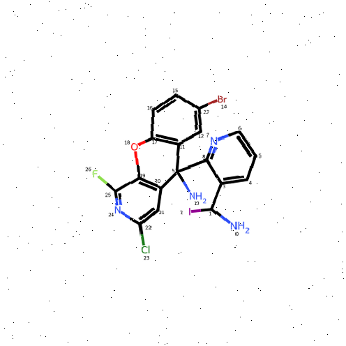 NC(I)c1cccnc1C1(N)c2cc(Br)ccc2Oc2c1cc(Cl)nc2F